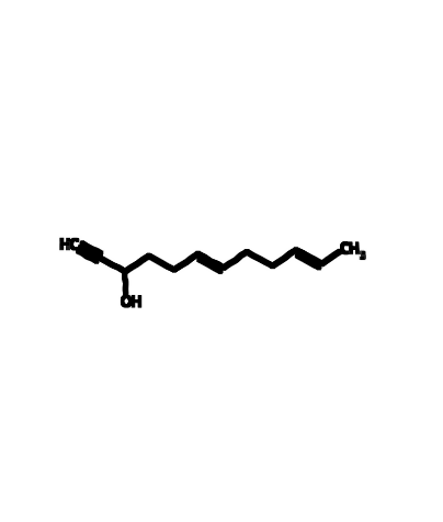 C#CC(O)CCC=CCCC=CC